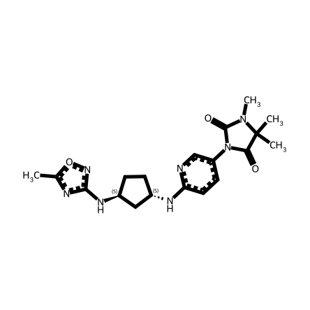 Cc1nc(N[C@H]2CC[C@H](Nc3ccc(N4C(=O)N(C)C(C)(C)C4=O)cn3)C2)no1